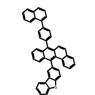 c1ccc2c(-c3ccc(-c4c5ccccc5c(-c5ccc6sc7ccccc7c6c5)c5c4ccc4ccccc45)cc3)cccc2c1